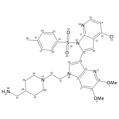 COc1cc2c(nc1OC)c(-c1cc3c(Cl)ccnc3n1S(=O)(=O)c1ccc(C)cc1)cn2CCN1CCC(CN)CC1